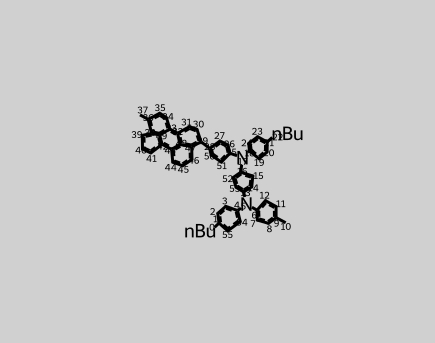 CCCCc1ccc(N(c2ccc(C)cc2)c2ccc(N(c3ccc(CCCC)cc3)c3ccc(-c4ccc5c6ccc(C)c7cccc(c8cccc4c85)c76)cc3)cc2)cc1